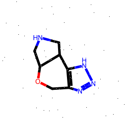 C1OC2CNCC2c2[nH]nnc21